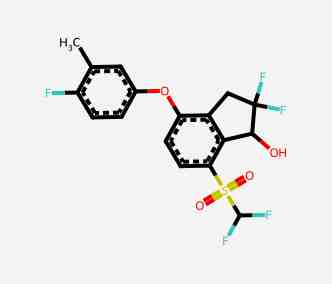 Cc1cc(Oc2ccc(S(=O)(=O)C(F)F)c3c2CC(F)(F)C3O)ccc1F